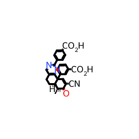 C[C@@H]1C(=O)C(C#N)=CC2(c3cccc(C(=O)O)c3)c3nc(-c4ccc(C(=O)O)cc4)ncc3CC[C@@H]12